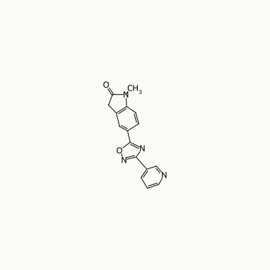 CN1C(=O)Cc2cc(-c3nc(-c4cccnc4)no3)ccc21